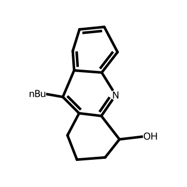 CCCCc1c2c(nc3ccccc13)C(O)CCC2